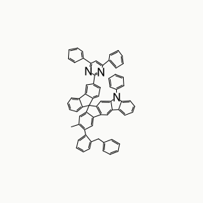 Cc1cc2c(cc1-c1ccccc1Cc1ccccc1)-c1cc3c4ccccc4n(-c4ccccc4)c3cc1C21c2ccccc2-c2cc(-c3nc(-c4ccccc4)cc(-c4ccccc4)n3)ccc21